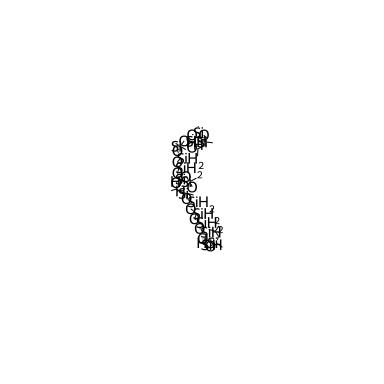 CC1C[SiH](C)O[SiH](C)O[SiH](O[SiH2]O[SiH2]O[SiH2]O[Si]2(C)CC(C)O[SiH](O[SiH2]O[SiH2]O[Si](C)(C)O[SiH]3OC(C)C[SiH](C)O[SiH](C)O3)O[SiH](C)O2)C1